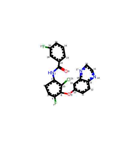 O=C(Nc1ccc(F)c(Oc2ccc3nccnc3c2)c1Cl)c1cccc(F)c1